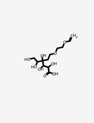 C=COCCOCCC(O)(C(O)CO)C(O)C(O)C(=O)O